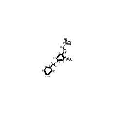 CC(=O)c1cc(OCc2ccccc2)ccc1OC[C@@H]1CO1